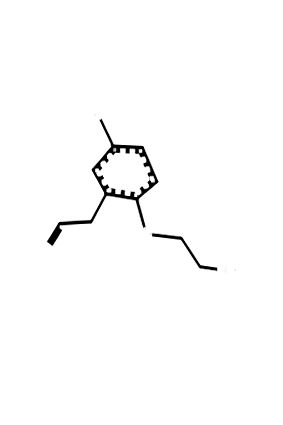 C=CCc1cc(Br)ccc1OCCCCCCCCC